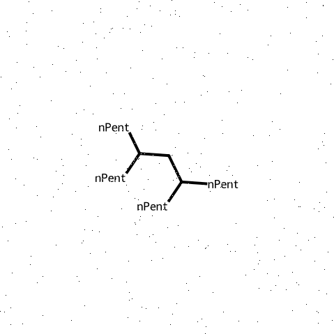 CCCCCC([CH]C(CCCCC)CCCCC)CCCCC